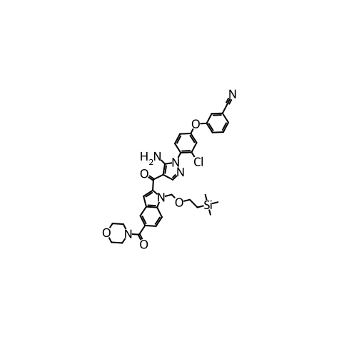 C[Si](C)(C)CCOCn1c(C(=O)c2cnn(-c3ccc(Oc4cccc(C#N)c4)cc3Cl)c2N)cc2cc(C(=O)N3CCOCC3)ccc21